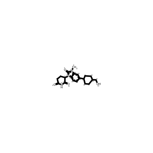 Cn1c(=O)n(C2CCC(=O)NC2=O)c2ccc(C3CCC(CO)CC3)cc21